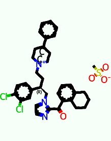 CS(=O)(=O)[O-].O=C(c1cccc2c1CCCC2)c1nccn1C[C@H](CC[N+]12CCC(c3ccccc3)(CC1)CC2)c1ccc(Cl)c(Cl)c1